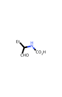 CCC(C=O)NC(=O)O